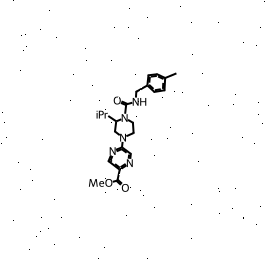 COC(=O)c1cnc(N2CCN(C(=O)NCc3ccc(C)cc3)C(C(C)C)C2)cn1